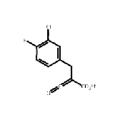 CCOC(=O)C(=C=O)Cc1ccc(F)c(Cl)c1